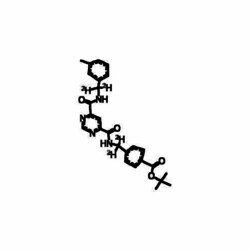 [2H]C([2H])(NC(=O)c1cc(C(=O)NC([2H])([2H])c2cccc(C)c2)ncn1)c1ccc(C(=O)OC(C)(C)C)cc1